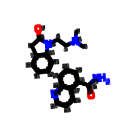 CN(C)CCN1C(=O)Cc2ccccc21.NC(=O)c1cccc2ncccc12